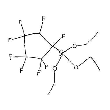 CCO[Si](OCC)(OCC)C1(F)C(F)C(F)(F)C(F)(F)C1(F)F